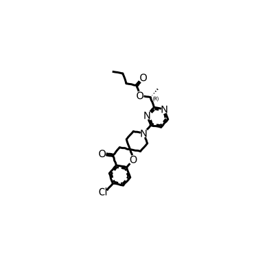 CCCC(=O)O[C@H](C)c1nccc(N2CCC3(CC2)CC(=O)c2cc(Cl)ccc2O3)n1